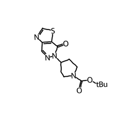 CC(C)(C)OC(=O)N1CCC(n2ncc3ncsc3c2=O)CC1